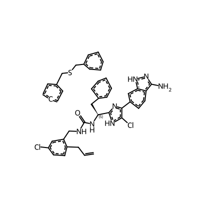 C=CCc1ccc(Cl)cc1CNC(=O)N[C@@H](Cc1ccccc1)c1nc(-c2ccc3c(N)n[nH]c3c2)c(Cl)[nH]1.c1ccc(CSCc2ccccc2)cc1